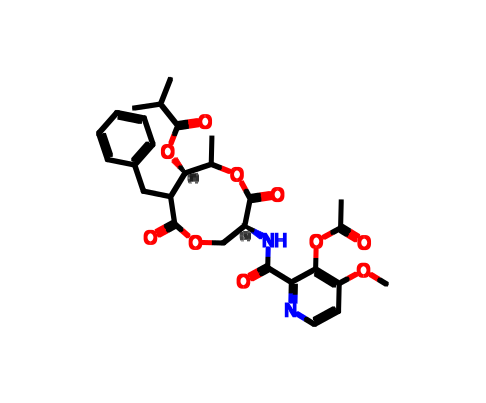 COc1ccnc(C(=O)N[C@H]2COC(=O)C(Cc3ccccc3)[C@@H](OC(=O)C(C)C)C(C)OC2=O)c1OC(C)=O